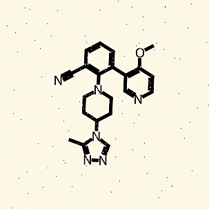 COc1ccncc1-c1cccc(C#N)c1N1CCC(n2cnnc2C)CC1